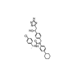 C[C@@H](NC(=O)N(Cc1ccc([C@@H](O)Cc2nn[nH]n2)cc1)c1ccc(C2CCCCC2)cc1)c1ccc(Cl)cc1